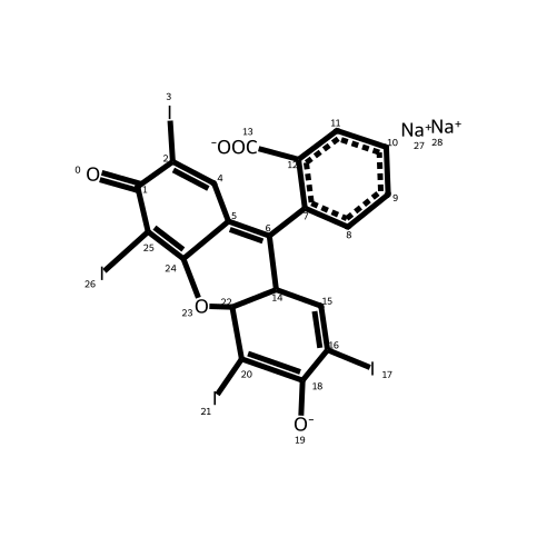 O=C1C(I)=CC2=C(c3ccccc3C(=O)[O-])C3C=C(I)C([O-])=C(I)C3OC2=C1I.[Na+].[Na+]